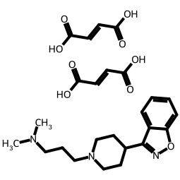 CN(C)CCCN1CCC(c2noc3ccccc23)CC1.O=C(O)C=CC(=O)O.O=C(O)C=CC(=O)O